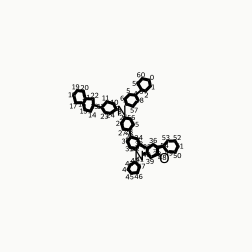 c1ccc(-c2ccc(N(c3ccc(-c4ccc5ccccc5c4)cc3)c3ccc(-c4ccc5c(c4)c4cc6c(cc4n5-c4ccccc4)oc4ccccc46)cc3)cc2)cc1